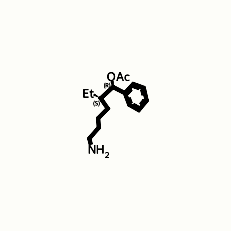 CC[C@@H](CCCCN)[C@@H](OC(C)=O)c1ccccc1